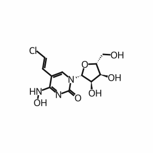 O=c1nc(NO)c(/C=C/Cl)cn1[C@@H]1O[C@H](CO)[C@@H](O)[C@H]1O